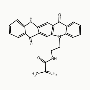 C=C(C)C(=O)NCCn1c2ccccc2c(=O)c2cc3[nH]c4ccccc4c(=O)c3cc21